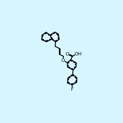 O=C(O)c1ccc(-c2ccc(F)cc2)cc1OCC=CCc1cccc2ccccc12